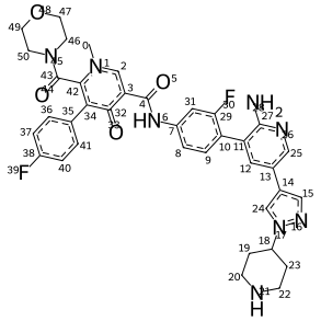 Cn1cc(C(=O)Nc2ccc(-c3cc(-c4cnn(C5CCNCC5)c4)cnc3N)c(F)c2)c(=O)c(-c2ccc(F)cc2)c1C(=O)N1CCOCC1